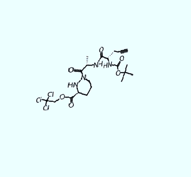 C#CC[C@H](NC(=O)OC(C)(C)C)C(=O)N[C@@H](C)C(=O)N1CCC[C@@H](C(=O)OCC(Cl)(Cl)Cl)N1